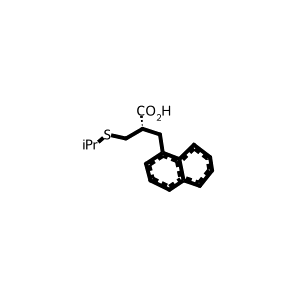 CC(C)SC[C@@H](Cc1cccc2ccccc12)C(=O)O